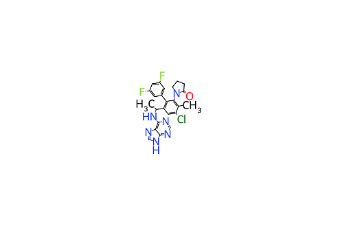 Cc1c(Cl)cc(C(C)Nc2ncnc3[nH]cnc23)c(-c2cc(F)cc(F)c2)c1N1CCCC1=O